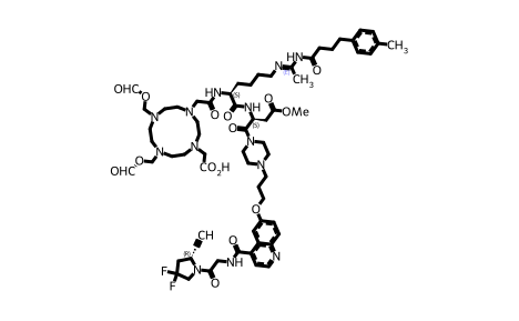 C#C[C@H]1CC(F)(F)CN1C(=O)CNC(=O)c1ccnc2ccc(OCCCN3CCN(C(=O)[C@H](CC(=O)OC)NC(=O)[C@H](CCCC/N=C(\C)NC(=O)CCCc4ccc(C)cc4)NC(=O)CN4CCN(COC=O)CCN(COC=O)CCN(CC(=O)O)CC4)CC3)cc12